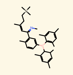 C/N=C(/C=C(/C)CC[Si](C)(C)C)c1cc(B(c2c(C)cc(C)cc2C)C2C(C)=CC(C)=CC2C)ccc1C